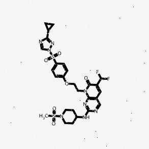 CS(=O)(=O)N1CCC(Nc2ncc3cc(C(F)F)c(=O)n(CCOc4ccc(S(=O)(=O)n5cnc(C6CC6)n5)cc4)c3n2)CC1